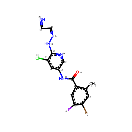 Cc1cc(Br)c(I)cc1C(=O)Nc1cnc(N/N=C\C=N)c(Cl)c1